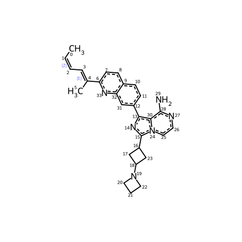 C/C=C\C=C(/C)c1ccc2ccc(-c3nc(C4CC(N5CCC5)C4)n4ccnc(N)c34)cc2n1